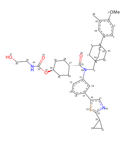 COc1ccc(C23CCC(CN(c4cccc(-c5cnc(C6CC6)s5)c4)C(=O)[C@H]4CC[C@H](OC(=O)NCCO)CC4)(CC2)CC3)cc1C